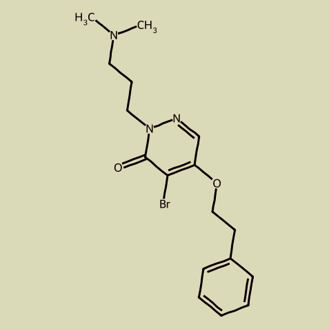 CN(C)CCCn1ncc(OCCc2ccccc2)c(Br)c1=O